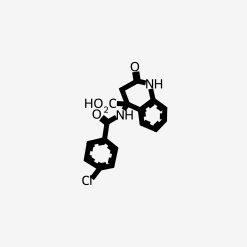 O=C1CC(NC(=O)c2ccc(Cl)cc2)(C(=O)O)c2ccccc2N1